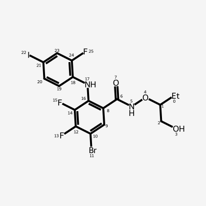 CCC(CO)ONC(=O)c1cc(Br)c(F)c(F)c1Nc1ccc(I)cc1F